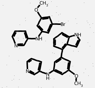 COc1cc(Br)cc(Nc2cccnc2)c1.COc1cc(Nc2cccnc2)cc(-c2cccc3[nH]ccc23)c1